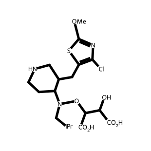 COc1nc(Cl)c(CC2CNCCC2N(CC(C)C)OC(C(=O)O)C(O)C(=O)O)s1